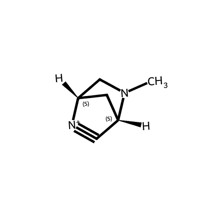 CN1C[C@@H]2C[C@H]1C#[N+]2